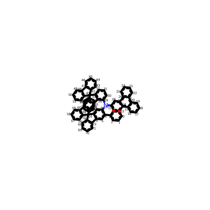 c1ccc(-c2cc3c(cc2N(c2ccc4c5ccccc5c5ccccc5c4c2)c2cccc4c2-c2ccccc2C42c4ccccc4-c4ccccc42)C2(c4ccccc4-c4ccccc42)c2ccccc2-3)cc1